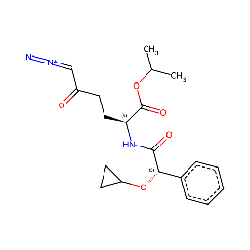 CC(C)OC(=O)[C@H](CCC(=O)C=[N+]=[N-])NC(=O)[C@@H](OC1CC1)c1ccccc1